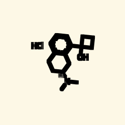 CN(C)[C@@H]1CCc2cccc(C3(O)CCC3)c2C1.Cl